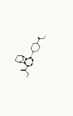 O=C(CBr)c1ccc(C2CCC(C(=O)CBr)CC2)c2c1C1CCC2C1